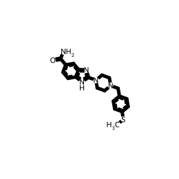 CSc1ccc(CN2CCN(c3nc4cc(C(N)=O)ccc4[nH]3)CC2)cc1